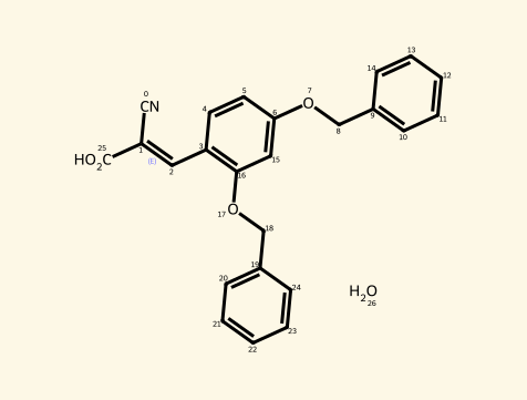 N#C/C(=C\c1ccc(OCc2ccccc2)cc1OCc1ccccc1)C(=O)O.O